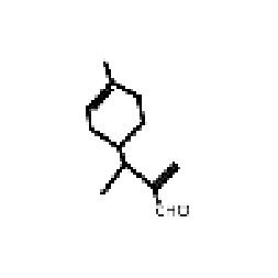 C=C(C=O)C(C)C1CC=C(C)CC1